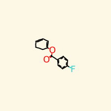 O=C(OC1=CC=CCC1)c1ccc(F)cc1